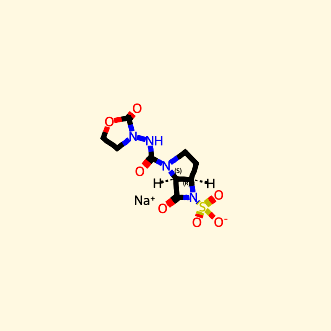 O=C1OCCN1NC(=O)N1CC[C@@H]2[C@H]1C(=O)N2S(=O)(=O)[O-].[Na+]